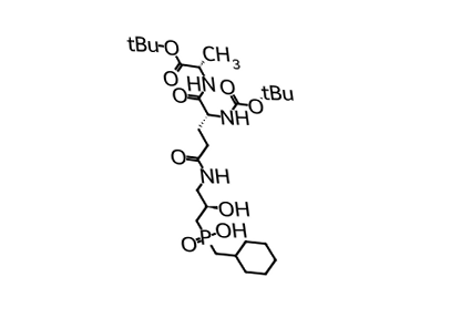 C[C@H](NC(=O)[C@@H](CCC(=O)NC[C@@H](O)CP(=O)(O)CC1CCCCC1)NC(=O)OC(C)(C)C)C(=O)OC(C)(C)C